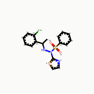 CC(NN(c1nccs1)S(=O)(=O)c1ccccc1)c1ccccc1F